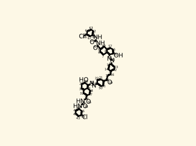 O=C(NC(=O)c1ccc2c(N=Nc3ccc(C=CC(=O)c4ccc(N=Nc5c(O)ccc6cc(C(=O)NC(=O)Nc7cccc(Cl)c7)ccc56)cc4)cc3)c(O)ccc2c1)Nc1cccc(Cl)c1